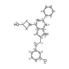 OC1CN(c2nc(-c3ccccc3)nc3[nH]c(COc4cccc(Cl)c4)cc23)C1